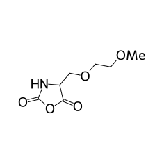 COCCOCC1NC(=O)OC1=O